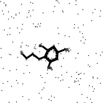 CCC(C)c1cc([N+](=O)[O-])cc([N+](=O)[O-])c1CCC[O]